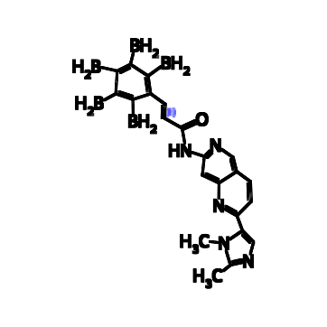 Bc1c(B)c(B)c(/C=C/C(=O)Nc2cc3nc(-c4cnc(C)n4C)ccc3cn2)c(B)c1B